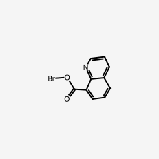 O=C(OBr)c1cccc2cccnc12